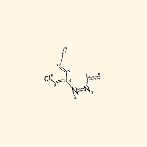 C=C\N=N/C(/C=C/C)=C/Cl